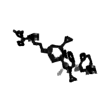 COC(=O)NCCCc1cc(C2CC2)nc([C@@H](C)N(C(=O)[C@H]2CNCCO2)C2CC2)c1